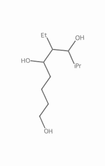 CCC(C(O)CCCCO)C(O)C(C)C